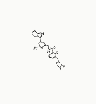 N#Cc1cc(-c2c[nH]c3ncccc23)cc(CNC(=O)c2cccn(Cc3ccc(F)c(F)c3)c2=O)n1